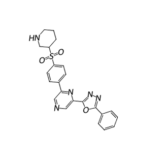 O=S(=O)(c1ccc(-c2cncc(-c3nnc(-c4ccccc4)o3)n2)cc1)C1CCCNC1